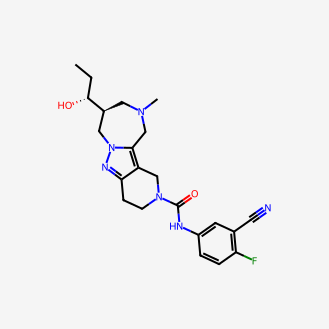 CC[C@@H](O)[C@H]1CN(C)Cc2c3c(nn2C1)CCN(C(=O)Nc1ccc(F)c(C#N)c1)C3